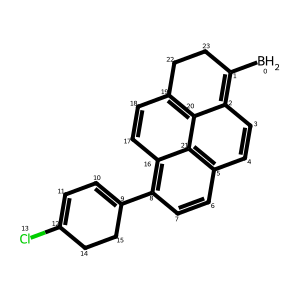 BC1=c2ccc3ccc(C4=CC=C(Cl)CC4)c4ccc(c2c34)CC1